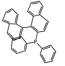 c1ccc(P(c2ccccc2)c2ccc3ccccc3c2-c2cccc3ccccc23)cc1